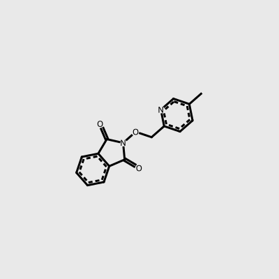 Cc1ccc(CON2C(=O)c3ccccc3C2=O)nc1